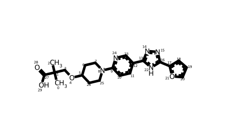 CC(C)(COC1CCN(c2ccc(-c3nnc(-c4ccco4)[nH]3)cn2)CC1)C(=O)O